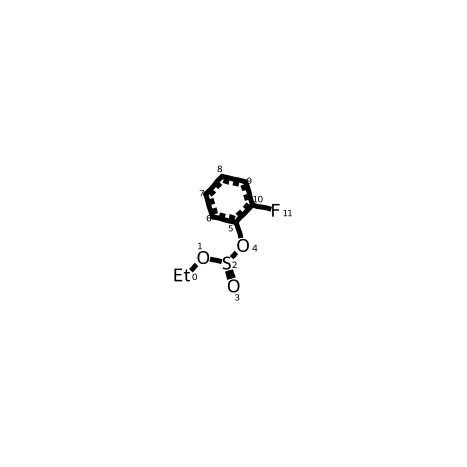 CCOS(=O)Oc1ccccc1F